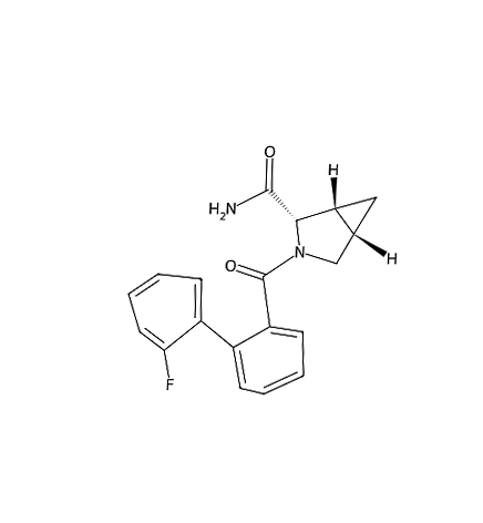 NC(=O)[C@@H]1[C@@H]2C[C@@H]2CN1C(=O)c1ccccc1-c1ccccc1F